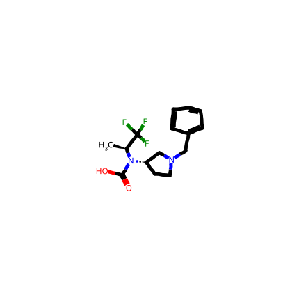 C[C@H](N(C(=O)O)[C@H]1CCN(Cc2ccccc2)C1)C(F)(F)F